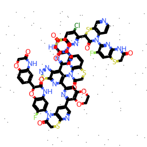 O=C1COc2ccc(C3Oc4cc(F)c(N5C(=O)CSc6ncc(-c7nc(-c8nc9snnc9c(-c9ccc%10c(n9)NC(=O)CO%10)c8N8C(=O)CSc9ccc(N%10C(=O)CSc%11cc(Cl)c(C%12Sc%13cn[c]cc%13N(c%13nc%14c(cc%13F)SCC(=O)N%14)C%12=O)nc%11%10)nc98)cc8c7OCCO8)cc65)cc4NC3=O)cc2N1